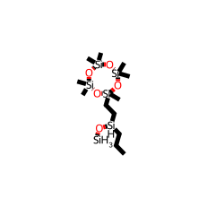 CCC[SiH](CC[Si]1(C)O[Si](C)(C)O[Si](C)(C)O[Si](C)(C)O1)O[SiH3]